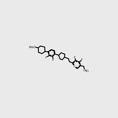 CCOCc1ccc(CCC2CCC(c3ccc(C4CCC(OC)CC4)c(F)c3F)CC2)c(F)c1F